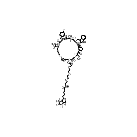 C[C@H]1NC(=O)[C@@H](Cc2c[nH]c3ccccc23)NC(=O)[C@H]2CCCN2C(=O)[C@@H](CO)NC(=O)[C@@H](NC(=O)COCCOCCOCCNC(=O)CCCCC2SC[C@@H]3NC(=O)N[C@H]23)Cc2cn(nn2)CCCC[C@@H](C(N)=O)NC(=O)[C@H](Cc2ccc(F)cc2)NC1=O